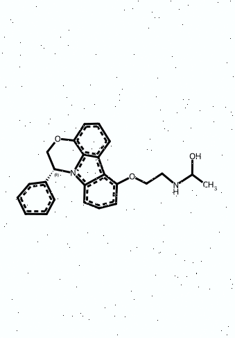 CC(O)NCCOc1cccc2c1c1cccc3c1n2[C@H](c1ccccc1)CO3